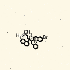 CN(C)CC[C@](O)(c1cccc2ccccc12)C(Cc1ccccc1)c1ccc2cc(Br)ccc2n1